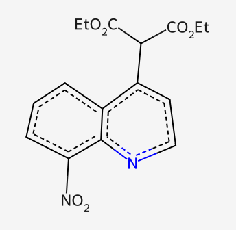 CCOC(=O)C(C(=O)OCC)c1ccnc2c([N+](=O)[O-])cccc12